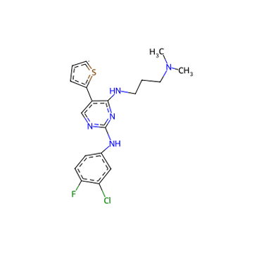 CN(C)CCCNc1nc(Nc2ccc(F)c(Cl)c2)ncc1-c1cc[c]s1